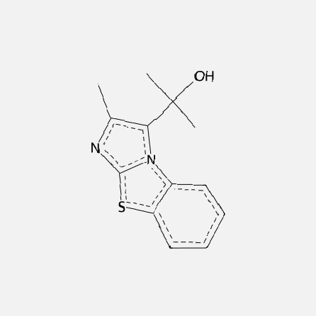 Cc1nc2sc3ccccc3n2c1C(C)(C)O